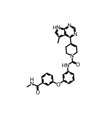 CNC(=O)c1cccc(Oc2cccc(NC(=O)N3CC=C(c4ncnc5[nH]cc(C)c45)CC3)c2)c1